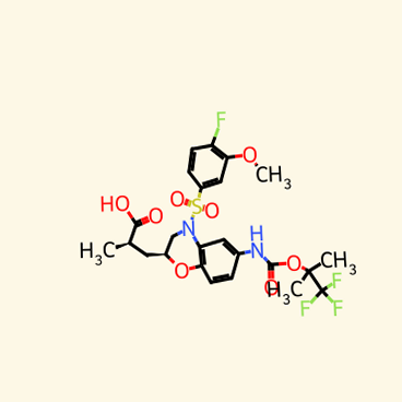 COc1cc(S(=O)(=O)N2C[C@H](C[C@@H](C)C(=O)O)Oc3ccc(NC(=O)OC(C)(C)C(F)(F)F)cc32)ccc1F